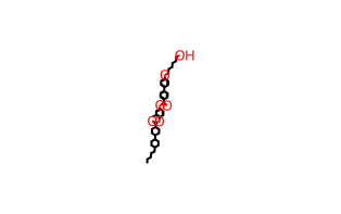 CCCCCC1CCC(C2CCC(C(=O)Oc3ccc(OC(=O)c4ccc(-c5ccc(OCCCCCCO)cc5)cc4)cc3C)CC2)CC1